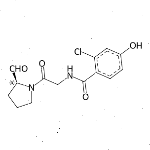 O=C[C@@H]1CCCN1C(=O)CNC(=O)c1ccc(O)cc1Cl